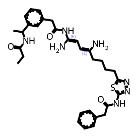 CCC(=O)NC(C)c1cccc(CC(=O)N/C(N)=C/C=C(\N)CCCCc2nnc(NC(=O)Cc3ccccc3)s2)c1